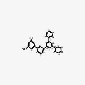 N#Cc1cc(Cl)cc(-c2cccc(-c3cc(-c4ccccc4)cc(-c4ccccc4)c3)c2)c1